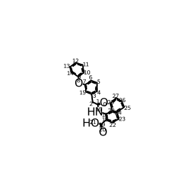 O=C(Cc1cccc(Oc2ccccc2)c1)Nc1c(C(=O)O)ccc2ccccc12